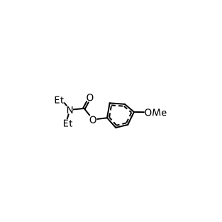 CCN(CC)C(=O)Oc1ccc(OC)cc1